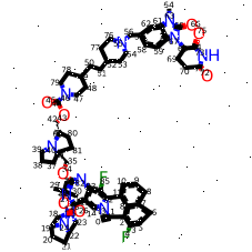 C#Cc1c(F)ccc2cccc(-c3ncc4c(N5CC6CCC(C5)N6C(=O)OC(C)(C)C)nc(OC[C@@]56CCCN5[C@H](COC(=O)N5CCC(CCC7CCN(Cc8ccc9c(c8)n(C)c(=O)n9C8CCC(=O)NC8=O)CC7)CC5)CC6)nc4c3F)c12